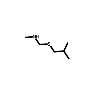 CNCSCC(C)C